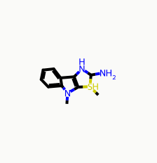 Cn1c2c(c3ccccc31)NC(N)[SH]2C